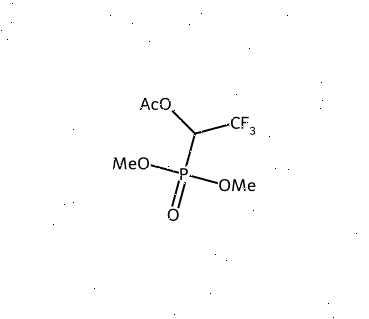 COP(=O)(OC)C(OC(C)=O)C(F)(F)F